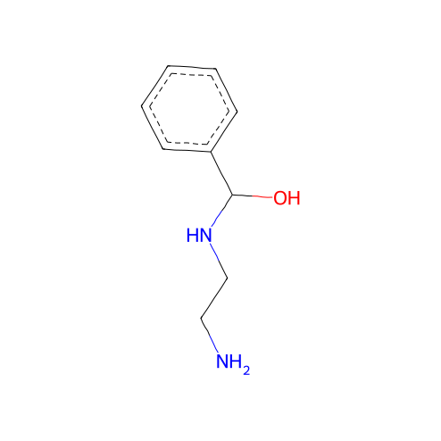 NCCNC(O)c1ccccc1